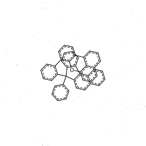 c1ccc(C2(c3ccccc3-c3cccc4c3Oc3cccc5cccc-4c35)c3ccccc3-c3c2ccc2ccccc32)cc1